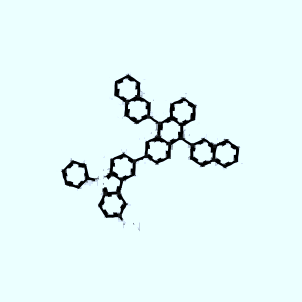 N#Cc1ccc2c(c1)c1cc(-c3ccc4c(-c5ccc6ccccc6c5)c5ccccc5c(-c5ccc6ccccc6c5)c4c3)ccc1n2-c1ccccc1